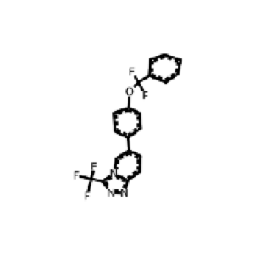 FC(F)(F)c1nnc2ccc(-c3ccc(OC(F)(F)c4ccccc4)cc3)cn12